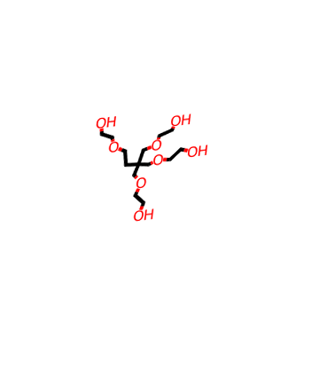 OCCOCCC(COCCO)(COCCO)COCCO